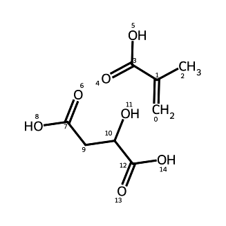 C=C(C)C(=O)O.O=C(O)CC(O)C(=O)O